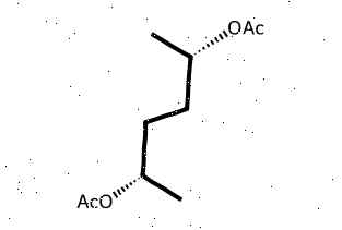 CC(=O)O[C@@H](C)CC[C@H](C)OC(C)=O